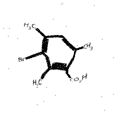 Cc1cc(C)c(C(=O)O)c(C)c1Br